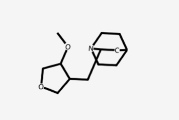 COC1COCC1CC1CC2CCN1CC2